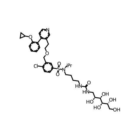 CC(C)N(CCCCNC(=O)NC[C@H](O)[C@@H](O)[C@H](O)[C@H](O)CO)S(=O)(=O)c1ccc(Cl)c(COCCc2cnccc2-c2ccccc2OC2CC2)c1